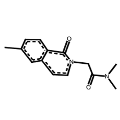 Cc1ccc2c(=O)n(CC(=O)N(C)C)ccc2c1